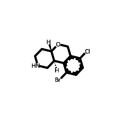 Clc1ccc(Br)c2c1CO[C@H]1CCNC[C@H]21